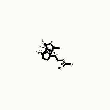 C[SiH](OCCC12CCC(C)(O1)[C@H]1C(=O)OC(=O)[C@H]12)C(C)(C)C